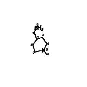 BCC1CCN(C)CC1